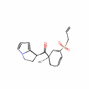 C=CCS(=O)(=O)C1=CC(C#N)(C(=O)C2CCn3cccc32)CC=C1